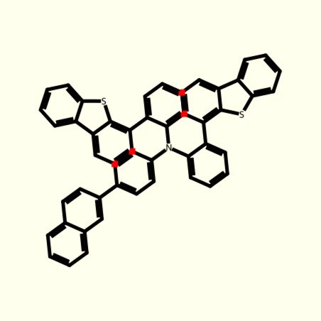 c1ccc(N(c2ccc(-c3ccc4ccccc4c3)cc2)c2ccccc2-c2cccc3c2sc2ccccc23)c(-c2cccc3c2sc2ccccc23)c1